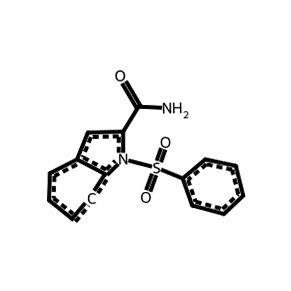 NC(=O)c1cc2ccccc2n1S(=O)(=O)c1ccccc1